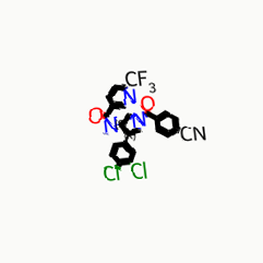 CN(C(=O)c1ccc(C(F)(F)F)nc1)[C@@H]1CN(C(=O)c2ccc(C#N)cc2)C[C@H]1c1ccc(Cl)c(Cl)c1